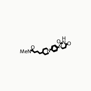 CNC(=O)CCCC1CCN(c2ccc(N3CCC(=O)NC3=O)cc2)CC1